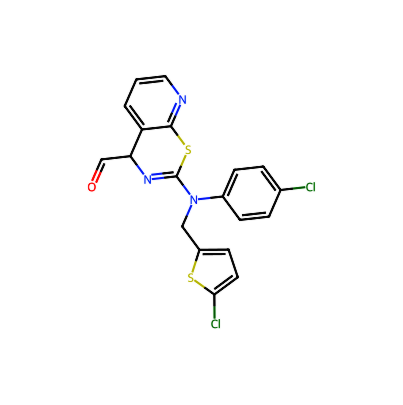 O=CC1N=C(N(Cc2ccc(Cl)s2)c2ccc(Cl)cc2)Sc2ncccc21